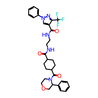 O=C(NCCNC(=O)C1CCC(C(=O)N2CCOCC2c2ccccc2)CC1)c1cn(-c2ccccc2)nc1C(F)(F)F